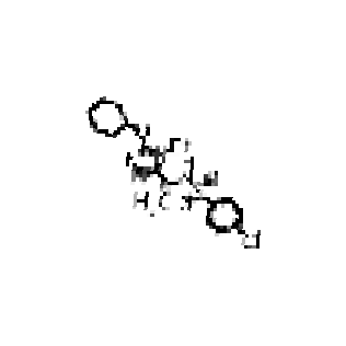 CCn1c(OC2CCCCC2)nnc1[C@@H](C)NS(=O)(=O)c1ccc(Cl)cc1